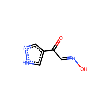 O=C(C=NO)c1cn[nH]c1